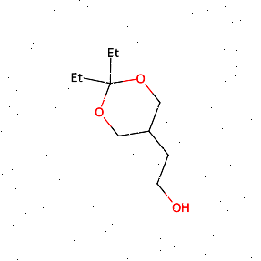 CCC1(CC)OCC(CCO)CO1